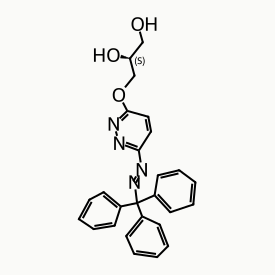 OC[C@H](O)COc1ccc(N=NC(c2ccccc2)(c2ccccc2)c2ccccc2)nn1